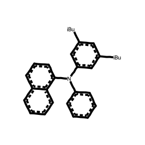 CCC(C)c1cc(C(C)CC)cc(N(c2ccccc2)c2cccc3ccccc23)c1